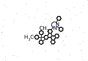 Cc1ccc(C2(c3ccc(C)cc3)c3ccccc3-c3cc4c(cc32)c2ccc(/C3=N/C(c5ccccc5)=N\C(c5ccccc5)CCC3)cc2c2c3ccccc3c3ccccc3c42)cc1